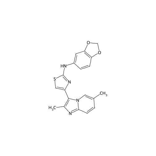 Cc1ccc2nc(C)c(-c3csc(Nc4ccc5c(c4)OCO5)n3)n2c1